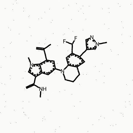 C=C(NC)c1cn(C)c2c(C(=C)C)cc(N3CCCc4cc(-c5cnn(C)c5)c(C(F)F)cc43)cc12